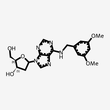 COc1cc(CNc2ncnc3c2ncn3C2C[C@H](O)[C@@H](CO)O2)cc(OC)c1